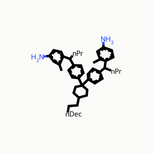 CCCCCCCCCCCCC1CCC(c2ccc(C(CCC)c3ccc(N)cc3C)cc2)(c2ccc(C(CCC)c3ccc(N)cc3C)cc2)CC1